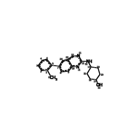 Cc1ccccc1-c1ccc2nc(NC3CCC(O)CC3)ncc2c1